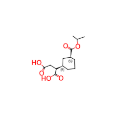 CC(C)OC(=O)[C@H]1CCC[C@@H](C(CC(=O)O)C(=O)O)C1